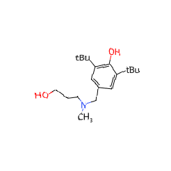 CN(CCCO)Cc1cc(C(C)(C)C)c(O)c(C(C)(C)C)c1